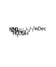 CCCCCCCCCCCCCCCCCC(C)(O)CC(=O)ON1C=NCC1